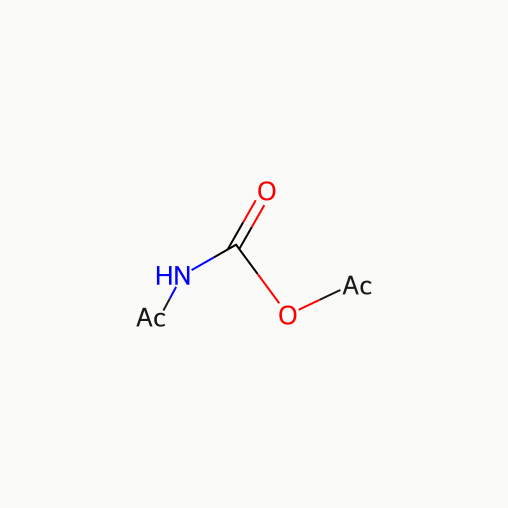 CC(=O)NC(=O)OC(C)=O